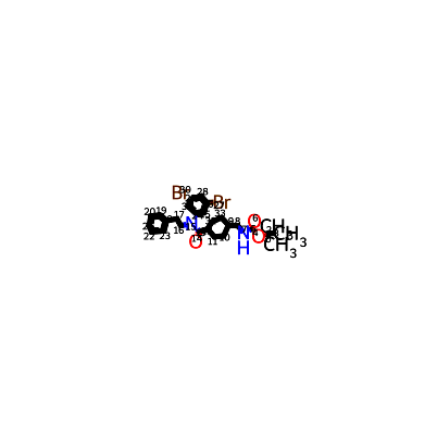 CC(C)(C)OC(=O)NCC1CCC(C(=O)N(CCc2ccccc2)c2cc(Br)cc(Br)c2)CC1